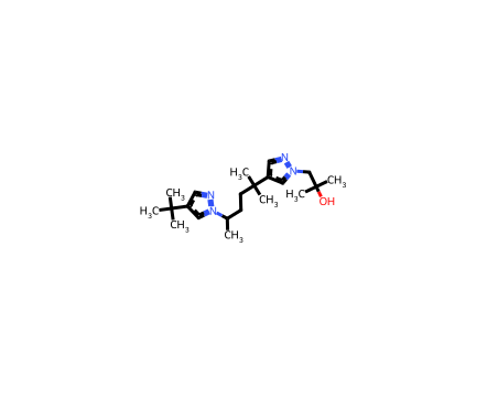 CC(CCC(C)(C)c1cnn(CC(C)(C)O)c1)n1cc(C(C)(C)C)cn1